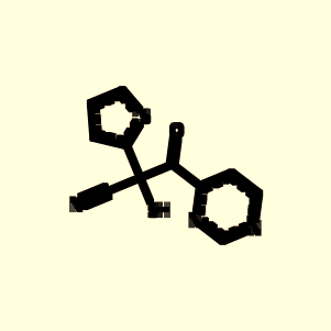 N#CC(S)(C(=O)c1ccncn1)c1cccs1